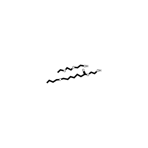 CCCCCCCCCCCC(=O)OCCO.CCOCCOCCO